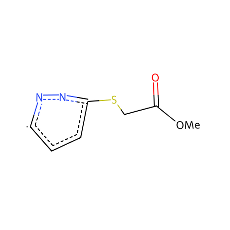 COC(=O)CSc1cc[c]nn1